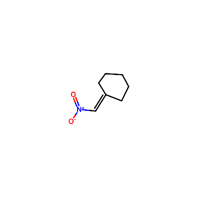 O=[N+]([O-])C=C1CCCCC1